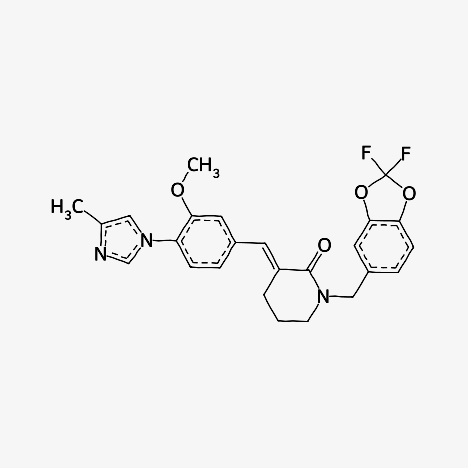 COc1cc(/C=C2\CCCN(Cc3ccc4c(c3)OC(F)(F)O4)C2=O)ccc1-n1cnc(C)c1